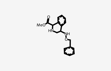 COC(=O)C1NCC(NOCc2ccccc2)c2ccccc21